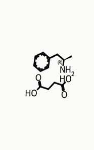 C[C@@H](N)Cc1ccccc1.O=C(O)CCC(=O)O